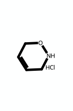 C1=CCONC1.Cl